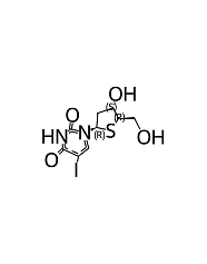 O=c1[nH]c(=O)n([C@H]2C[C@H](O)[C@@H](CO)S2)cc1I